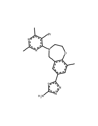 Cc1nc(C)c(C(C)C)c(N2CCOc3c(C)cc(-c4nnc(N)s4)cc3C2)n1